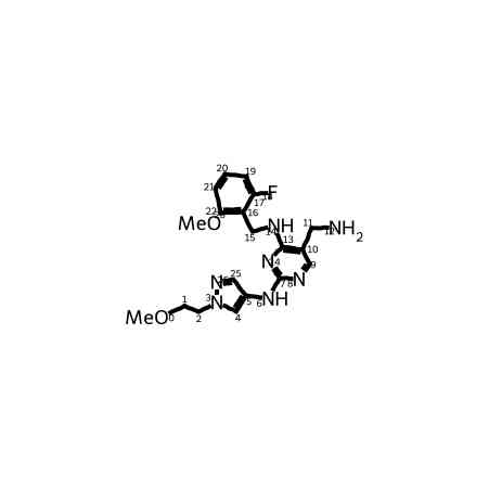 COCCn1cc(Nc2ncc(CN)c(NCc3c(F)cccc3OC)n2)cn1